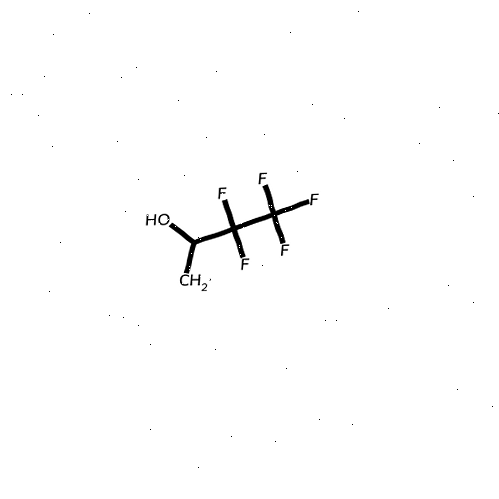 [CH2]C(O)C(F)(F)C(F)(F)F